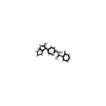 Cc1ccccc1C(=O)Nc1ccc(-c2c(C)sc3c2CCC3)cn1